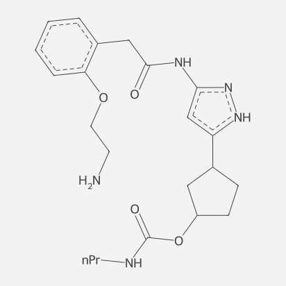 CCCNC(=O)OC1CCC(c2cc(NC(=O)Cc3ccccc3OCCN)n[nH]2)C1